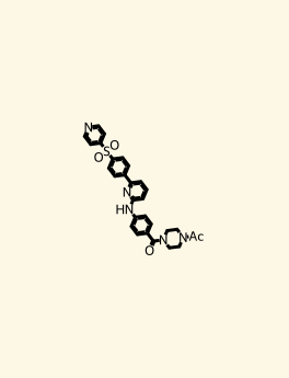 CC(=O)N1CCN(C(=O)c2ccc(Nc3cccc(-c4ccc(S(=O)(=O)c5ccncc5)cc4)n3)cc2)CC1